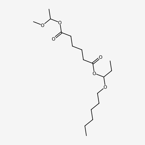 CCCCCCOC(CC)OC(=O)CCCCC(=O)OC(C)OC